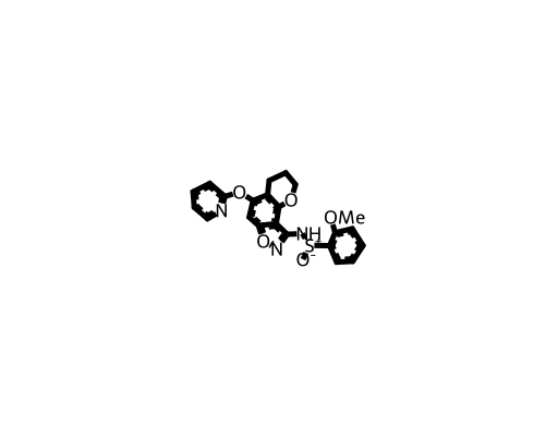 COc1ccccc1[S+]([O-])Nc1noc2cc(Oc3ccccn3)c3c(c12)OCCC3